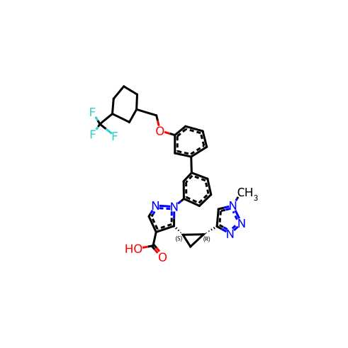 Cn1cc([C@@H]2C[C@@H]2c2c(C(=O)O)cnn2-c2cccc(-c3cccc(OCC4CCCC(C(F)(F)F)C4)c3)c2)nn1